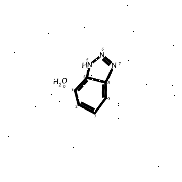 O.c1ccc2[nH]nnc2c1